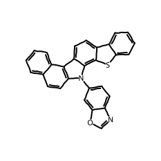 c1ccc2c(c1)ccc1c2c2ccc3c4ccccc4sc3c2n1-c1ccc2ncoc2c1